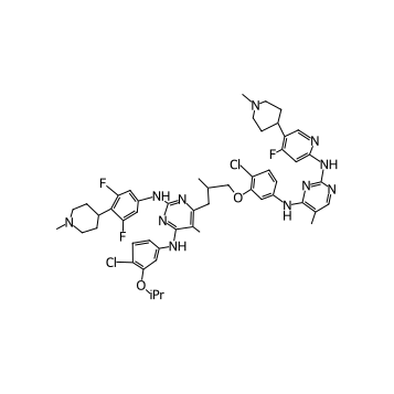 Cc1cnc(Nc2cc(F)c(C3CCN(C)CC3)cn2)nc1Nc1ccc(Cl)c(OCC(C)Cc2nc(Nc3cc(F)c(C4CCN(C)CC4)c(F)c3)nc(Nc3ccc(Cl)c(OC(C)C)c3)c2C)c1